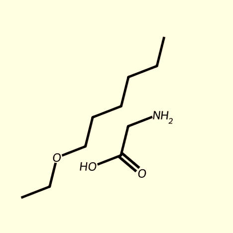 CCCCCCOCC.NCC(=O)O